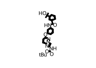 CC(C)(C)OC(=O)Nc1cn2nc(Oc3cccc(NC(=O)c4cccc(C(C)(C)O)c4)c3)ccc2n1